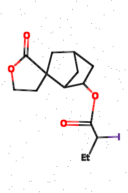 CCC(I)C(=O)OC1CC2CC1C1(CCOC1=O)C2